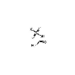 CC=O.O=S(=O)(O)O